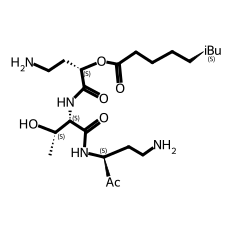 CC[C@H](C)CCCCC(=O)O[C@@H](CCN)C(=O)N[C@H](C(=O)N[C@@H](CCN)C(C)=O)[C@H](C)O